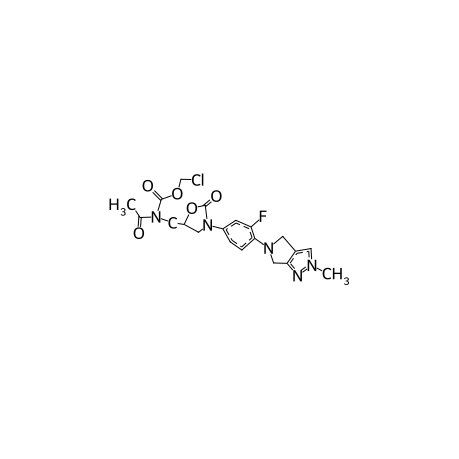 CC(=O)N(CC1CN(c2ccc(N3Cc4cn(C)nc4C3)c(F)c2)C(=O)O1)C(=O)OCCl